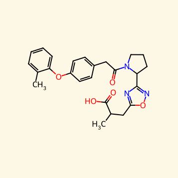 Cc1ccccc1Oc1ccc(CC(=O)N2CCCC2c2noc(CC(C)C(=O)O)n2)cc1